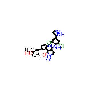 CC(C)(O)C#Cc1ccc2nc(Nc3c(Cl)cc(-c4ccn[nH]4)cc3Cl)c3cc[nH]c(=O)c3c2c1